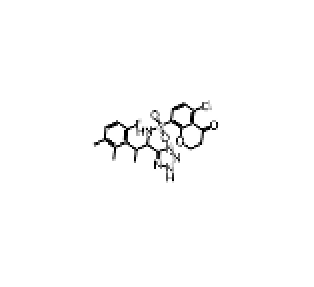 Cc1ccc(F)c(C(C)C(NS(=O)(=O)c2ccc(Cl)c3c2OCCC3=O)c2nn[nH]n2)c1C